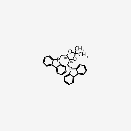 CC1(C)O[C@@H](Cp2c3ccccc3c3ccccc32)[C@H](Cp2c3ccccc3c3ccccc32)O1